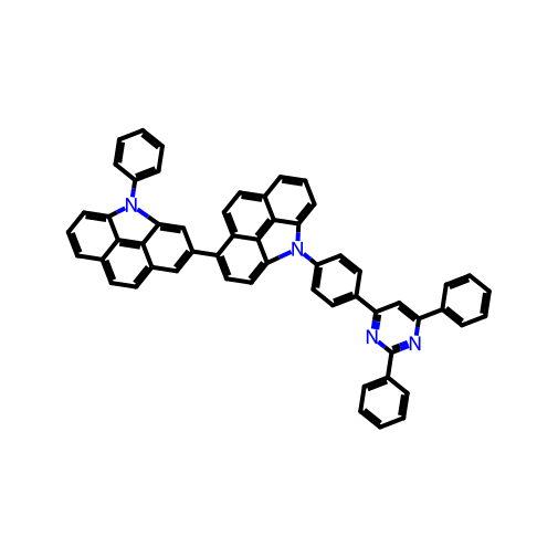 c1ccc(-c2cc(-c3ccc(-n4c5cccc6ccc7c(-c8cc9ccc%10cccc%11c%10c9c(c8)n%11-c8ccccc8)ccc4c7c65)cc3)nc(-c3ccccc3)n2)cc1